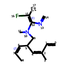 C=CC(C)=CC(/C=C\C)CN(C)/C(N=C)=C(\F)CC